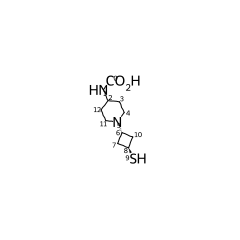 O=C(O)NC1CCN([C@H]2C[C@H](S)C2)CC1